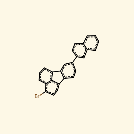 Brc1ccc2c3c(cccc13)-c1cc(-c3ccc4ccccc4c3)ccc1-2